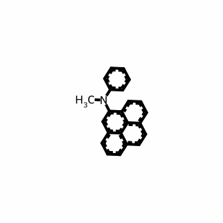 CN(c1ccccc1)c1cc2cccc3ccc4cccc1c4c32